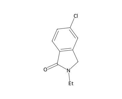 CCN1Cc2cc(Cl)ccc2C1=O